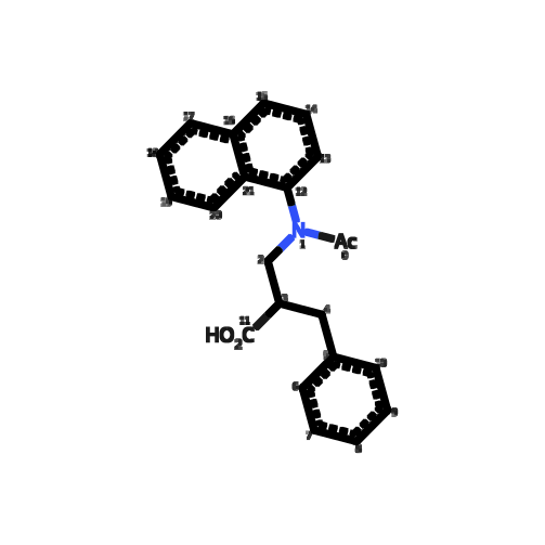 CC(=O)N(CC(Cc1ccccc1)C(=O)O)c1cccc2ccccc12